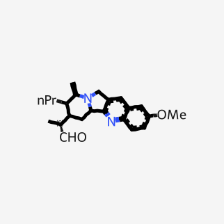 C=C1C(CCC)C([C@H](C)C=O)CC2c3nc4ccc(OC)cc4cc3CN12